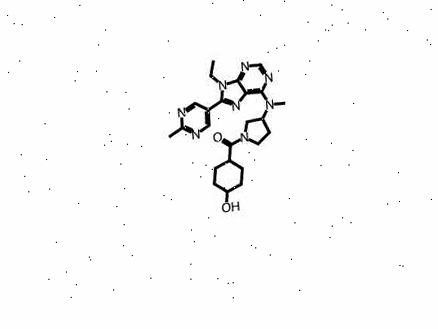 CCn1c(-c2cnc(C)nc2)nc2c(N(C)C3CCN(C(=O)C4CCC(O)CC4)C3)ncnc21